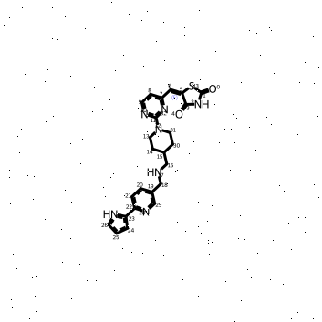 O=C1NC(=O)/C(=C\c2ccnc(N3CCC(CNCc4ccc(-c5ccc[nH]5)nc4)CC3)n2)S1